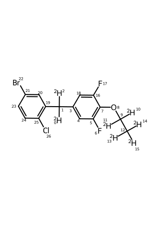 [2H]C([2H])(c1cc(F)c(OC([2H])([2H])C([2H])([2H])[2H])c(F)c1)c1cc(Br)ccc1Cl